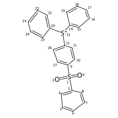 O=S(=O)(c1ccccc1)c1ccc([S+](c2ccccc2)c2ccccc2)cc1